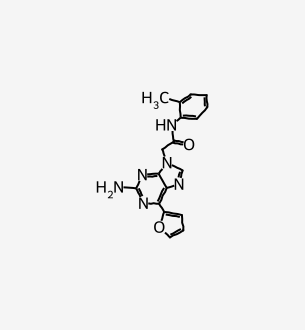 Cc1ccccc1NC(=O)Cn1cnc2c(-c3ccco3)nc(N)nc21